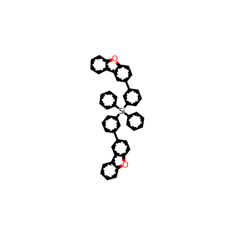 c1ccc([Si](c2ccccc2)(c2cccc(-c3ccc4oc5ccccc5c4c3)c2)c2cccc(-c3ccc4oc5ccccc5c4c3)c2)cc1